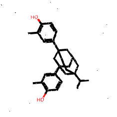 Cc1cc(C23CC4CC(c5ccc(O)c(C)c5)(C2)CC(C(C)C)(C4)C3)ccc1O